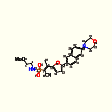 COCCNS(=O)(=O)/C(C#N)=C(\C)c1ccc(-c2ccc3cc(N4CCOCC4)ccc3c2)o1